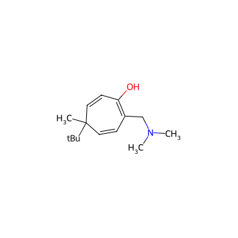 CN(C)CC1=C(O)C=CC(C)(C(C)(C)C)C=C1